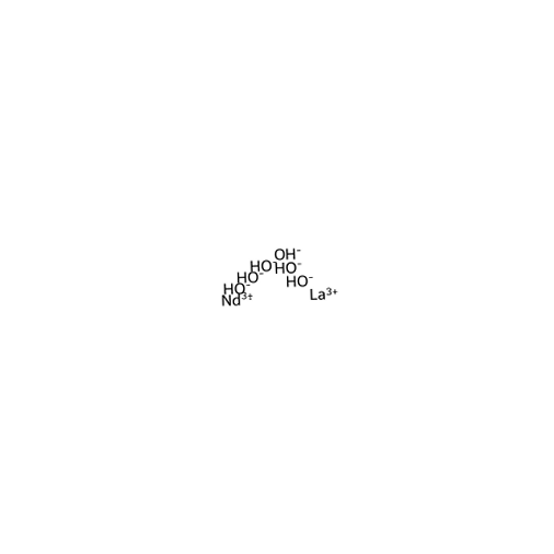 [La+3].[Nd+3].[OH-].[OH-].[OH-].[OH-].[OH-].[OH-]